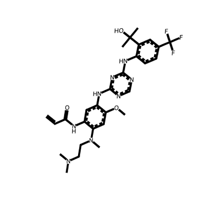 C=CC(=O)Nc1cc(Nc2ncnc(Nc3ccc(C(F)(F)F)cc3C(C)(C)O)n2)c(OC)cc1N(C)CCN(C)C